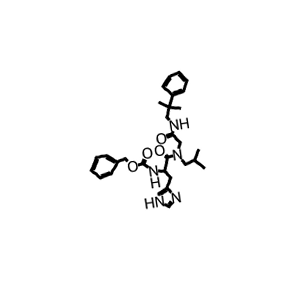 CC(C)CN(CC(=O)NCC(C)(C)c1ccccc1)C(=O)C(Cc1c[nH]cn1)NC(=O)OCc1ccccc1